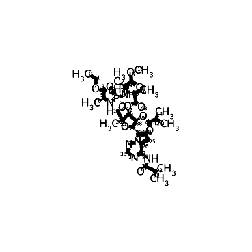 CCOC(=O)[C@H](C)NP(=O)(N[C@@H](C)C(=O)OC)OC[C@@]1(C)O[C@@H](c2ccc3c(NC(=O)C(C)C)ncnn23)[C@H](OC(=O)C(C)C)[C@@H]1OC(=O)C(C)C